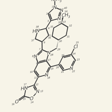 Cn1cc(C2CC(c3nc4cc(-c5noc(=O)[nH]5)nc(-c5cncc(Cl)c5)c4n3C[C@H]3CC[C@H](C)CC3)CN2)nn1